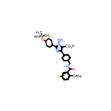 COc1ccc(F)cc1C(=O)NCc1ccc(-c2nc(C3CCC(O[Si](C)(C)C(C)(C)C)CC3)n(N)c2C(=O)O)cc1